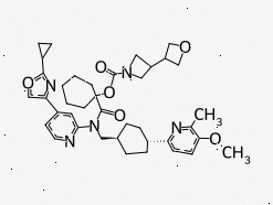 COc1ccc([C@H]2CC[C@H](CN(C(=O)C3(OC(=O)N4CC(C5COC5)C4)CCCCC3)c3cc(-c4coc(C5CC5)n4)ccn3)CC2)nc1C